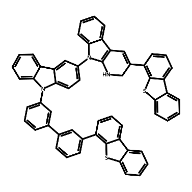 C1=C(c2cccc3c2sc2ccccc23)CNc2c1c1ccccc1n2-c1ccc2c(c1)c1ccccc1n2-c1cccc(-c2cccc(-c3cccc4c3sc3ccccc34)c2)c1